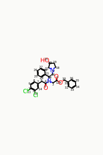 O=C(CN(C(=O)Cc1ccc(Cl)c(Cl)c1)[C@H](CN1CC[C@H](O)C1)c1ccccc1)OCc1ccccc1